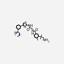 C/C=C\C(=N/C)c1cccc(-c2csc(NC(=O)CNC(=O)c3ccc(C)c(C(C)(C)CN)c3)n2)c1